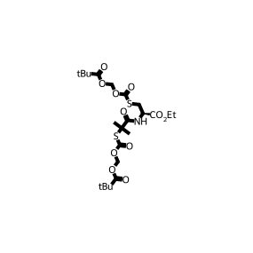 CCOC(=O)[C@H](CSC(=O)OCOC(=O)C(C)(C)C)NC(=O)C(C)(C)SC(=O)OCOC(=O)C(C)(C)C